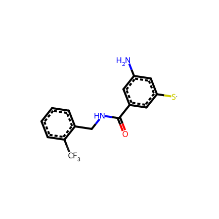 Nc1cc([S])cc(C(=O)NCc2ccccc2C(F)(F)F)c1